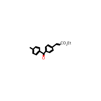 CCOC(=O)C=Cc1ccc(C(=O)c2ccc(C)cc2)cc1